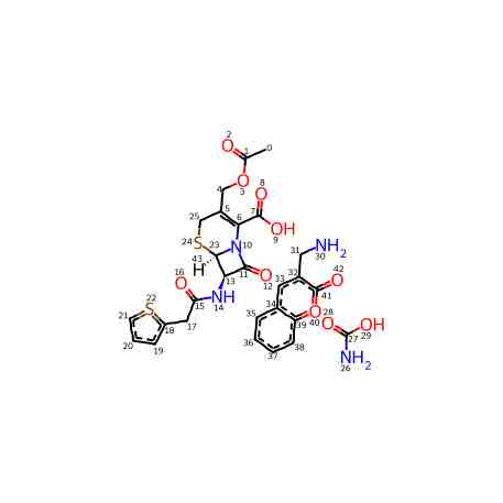 CC(=O)OCC1=C(C(=O)O)N2C(=O)[C@@H](NC(=O)Cc3cccs3)[C@H]2SC1.NC(=O)O.NCc1cc2ccccc2oc1=O